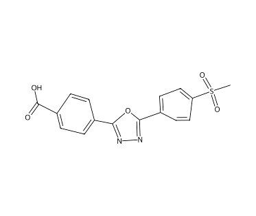 CS(=O)(=O)c1ccc(-c2nnc(-c3ccc(C(=O)O)cc3)o2)cc1